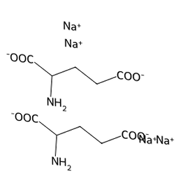 NC(CCC(=O)[O-])C(=O)[O-].NC(CCC(=O)[O-])C(=O)[O-].[Na+].[Na+].[Na+].[Na+]